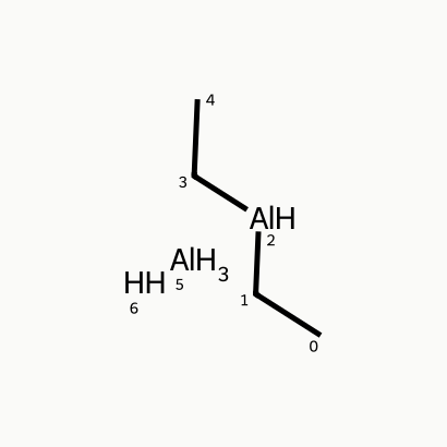 C[CH2][AlH][CH2]C.[AlH3].[HH]